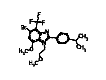 COCCn1c(-c2ccc(C(C)C)cc2)nc2c(C(F)(F)F)c(Br)cc(OC)c21